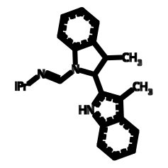 Cc1c(C2C(C)c3ccccc3N2C=NC(C)C)[nH]c2ccccc12